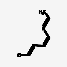 C/C=N/C=C\C=C\Cl